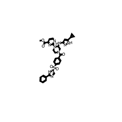 COC(=O)c1ccnc(N2CCN(C(=O)c3ccc(S(=O)(=O)n4cnc(-c5ccccc5)n4)cc3)CC2Nc2cc(C3CC3)[nH]n2)n1